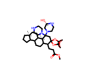 COC(=O)CCC1C2CCC3C4CCC[C@@]4(C)CCC3[C@@]2(C)C(N2CCNCC2)(N2CCN[C@@H](O)C2)CC1(OC(C)=O)OC(C)=O